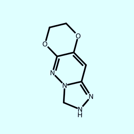 C1=C2OCCOC2=NN2CNN=C12